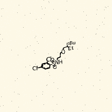 CCCCC(CC)COCCCNS(=O)(=O)c1ccc(Cl)cc1Cl